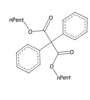 CCCCCOC(=O)C(C(=O)OCCCCC)(c1ccccc1)c1ccccc1